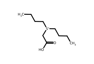 CCCC[S+](CCCC)CC(=O)O